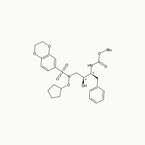 CC(C)(C)OC(=O)N[C@@H](Cc1ccccc1)[C@@H](O)CN(OC1CCCC1)S(=O)(=O)c1ccc2c(c1)OCCO2